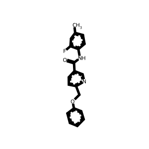 Cc1ccc(NC(=O)c2ccc(COc3ccccc3)nc2)c(F)c1